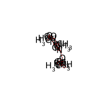 CC[C@@]1(O)C(=O)OCc2c1cc1n(c2=O)Cc2cc3c(CN(C)C)c(OC(=O)N4CCN(CCCCCCOc5cc(F)c([C@@H]6c7[nH]c8ccccc8c7C[C@@H](C)N6CC(C)(C)F)c(F)c5)CC4)ccc3nc2-1